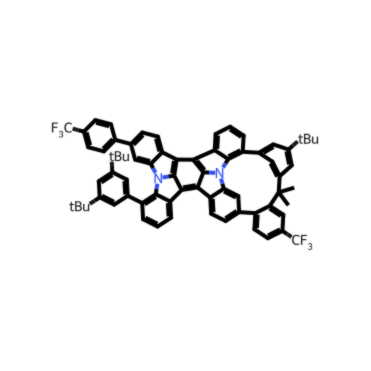 CC(C)(C)c1cc(-c2cccc3c4c5c6ccc7cc6n6c8c(cccc8c(c8c9ccc(-c%10ccc(C(F)(F)F)cc%10)cc9n(c23)c84)c56)-c2cc(C(C)(C)C)cc(c2)C(C)(C)c2cc(C(F)(F)F)ccc2-7)cc(C(C)(C)C)c1